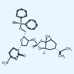 C=C(C)[C@H]1CC[C@@]2(C)SP(=S)(O[C@H]3C[C@H](n4ccc(N)nc4=O)O[C@@H]3CO[Si](c3ccccc3)(c3ccccc3)C(C)(C)C)O[C@@H]2C1